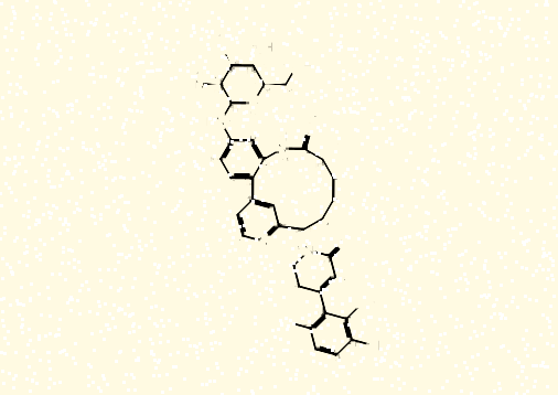 C[C@@H]1CCC[C@H](N2CCC(c3c(F)ccc(Cl)c3F)=CC2=O)c2cc(ccn2)-c2ccc(NC3O[C@H](CO)[C@@H](O)[C@H](O)[C@@H]3N)cc2NC1=O